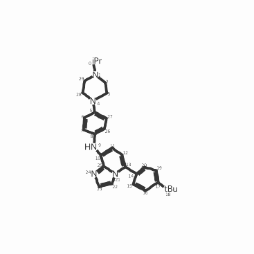 CC(C)N1CCN(c2ccc(Nc3ccc(-c4ccc(C(C)(C)C)cc4)n4ccnc34)cc2)CC1